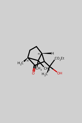 CCOC(=O)C(C)(O)C1C(=O)[C@]2(C)CC[C@H]1C2(C)C